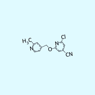 Cc1cc(COc2cc(C#N)cc(Cl)n2)ccn1